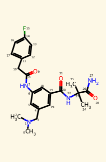 CN(C)Cc1cc(NC(=O)Cc2ccc(F)cc2)cc(C(=O)NC(C)(C)C(N)=O)c1